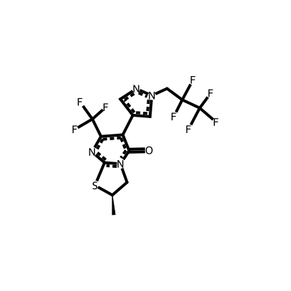 C[C@@H]1Cn2c(nc(C(F)(F)F)c(-c3cnn(CC(F)(F)C(F)(F)F)c3)c2=O)S1